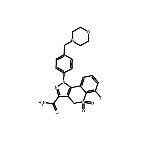 NC(=O)c1nn(-c2ccc(CN3CCOCC3)cc2)c2c1CS(=O)(=O)c1c(F)cccc1-2